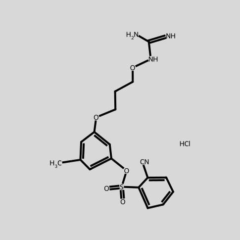 Cc1cc(OCCCONC(=N)N)cc(OS(=O)(=O)c2ccccc2C#N)c1.Cl